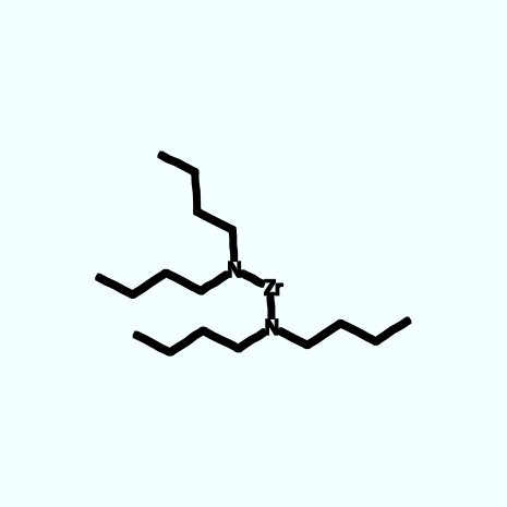 CCCC[N](CCCC)[Zr][N](CCCC)CCCC